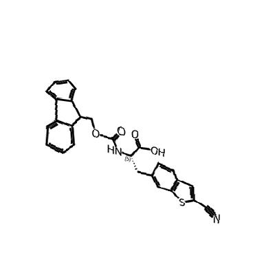 N#Cc1cc2ccc(C[C@H](NC(=O)OCC3c4ccccc4-c4ccccc43)C(=O)O)cc2s1